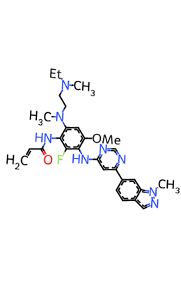 C=CC(=O)Nc1c(N(C)CCN(C)CC)cc(OC)c(Nc2cc(-c3ccc4cnn(C)c4c3)ncn2)c1F